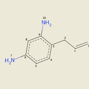 C=CCc1ccc(N)cc1N